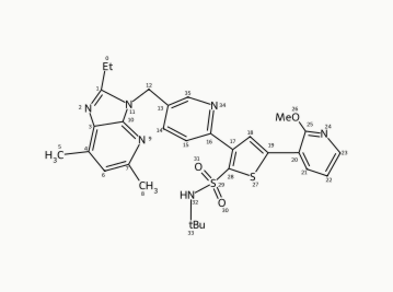 CCc1nc2c(C)cc(C)nc2n1Cc1ccc(-c2cc(-c3cccnc3OC)sc2S(=O)(=O)NC(C)(C)C)nc1